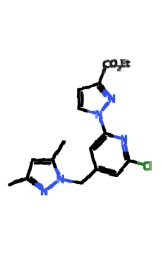 CCOC(=O)c1ccn(-c2cc(Cn3nc(C)cc3C)cc(Cl)n2)n1